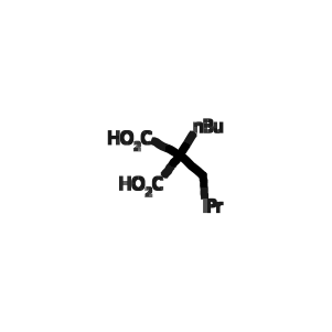 CCCCC(CC(C)C)(C(=O)O)C(=O)O